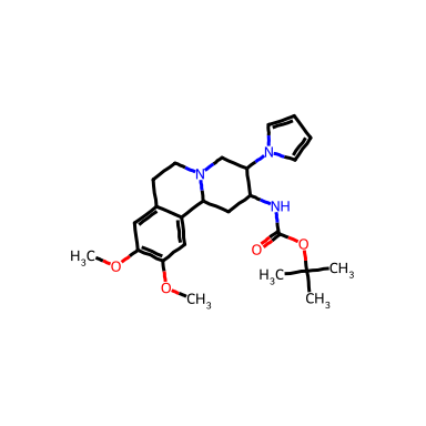 COc1cc2c(cc1OC)C1CC(NC(=O)OC(C)(C)C)C(n3cccc3)CN1CC2